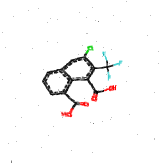 O=C(O)c1cccc2cc(Cl)c(C(F)(F)F)c(C(=O)O)c12